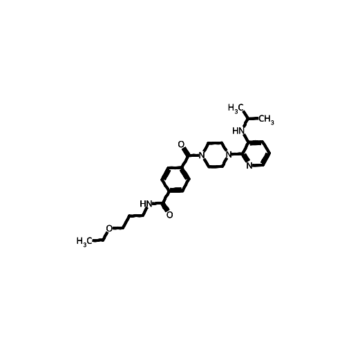 CCOCCCNC(=O)c1ccc(C(=O)N2CCN(c3ncccc3NC(C)C)CC2)cc1